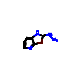 NNC1Nc2cccnc2S1